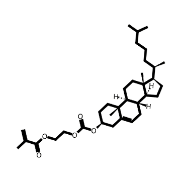 C=C(C)C(=O)OCCOC(=O)O[C@H]1CC[C@@]2(C)C(=CC[C@H]3[C@@H]4CC[C@H]([C@H](C)CCCC(C)C)[C@@]4(C)CC[C@@H]32)C1